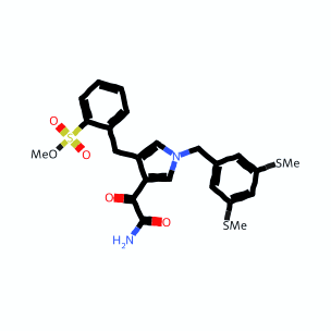 COS(=O)(=O)c1ccccc1Cc1cn(Cc2cc(SC)cc(SC)c2)cc1C(=O)C(N)=O